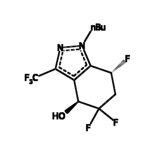 CCCCn1nc(C(F)(F)F)c2c1[C@H](F)CC(F)(F)[C@H]2O